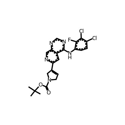 CC(C)(C)OC(=O)N1CC=C(c2cc3c(Nc4ccc(Cl)c(Cl)c4F)ncnc3cn2)C1